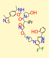 Cc1ncsc1-c1ccc(C(C)NC(=O)[C@@H]2C[C@@H](O)CN2C(=O)C(c2cc(OCCN3CC(n4cc(C(F)F)c5nnc(-c6ccccc6O)cc54)C3)no2)C(C)C)cc1